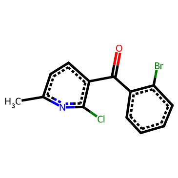 Cc1ccc(C(=O)c2ccccc2Br)c(Cl)n1